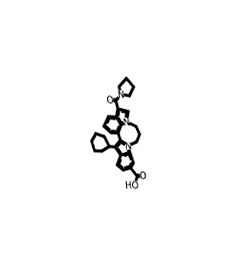 O=C(O)c1ccc2c(C3CCCCC3)c3n(c2c1)CCCn1cc(C(=O)N2CCCC2)c2cccc-3c21